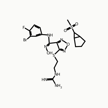 CS(=O)(=O)C1C2CCCC21.N=C(N)NCCSc1nonc1C(=NO)Nc1ccc(F)c(Br)c1